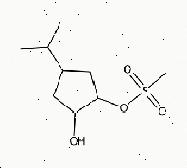 CC(C)C1CC(O)C(OS(C)(=O)=O)C1